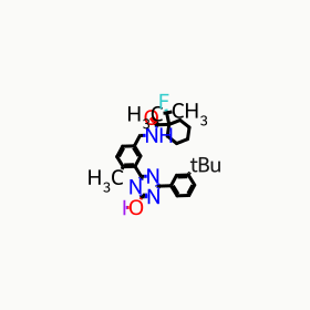 Cc1ccc(CNC(=O)C2(C(C)(C)F)CCCCC2)cc1-c1nc(OI)nc(-c2cccc(C(C)(C)C)c2)n1